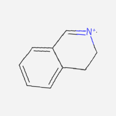 C1=[N+]CCc2ccccc21